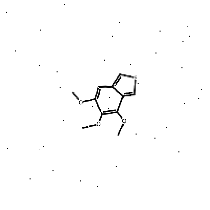 COc1cc2[c]scc2c(OC)c1OC